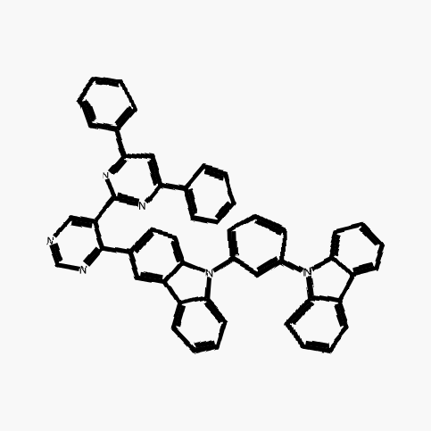 c1ccc(-c2cc(-c3ccccc3)nc(-c3cncnc3-c3ccc4c(c3)c3ccccc3n4-c3cccc(-n4c5ccccc5c5ccccc54)c3)n2)cc1